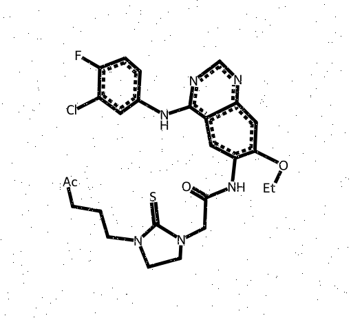 CCOc1cc2ncnc(Nc3ccc(F)c(Cl)c3)c2cc1NC(=O)CN1CCN(CCCC(C)=O)C1=S